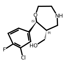 OC[C@H]1CNCCO[C@@H]1c1ccc(F)c(Cl)c1